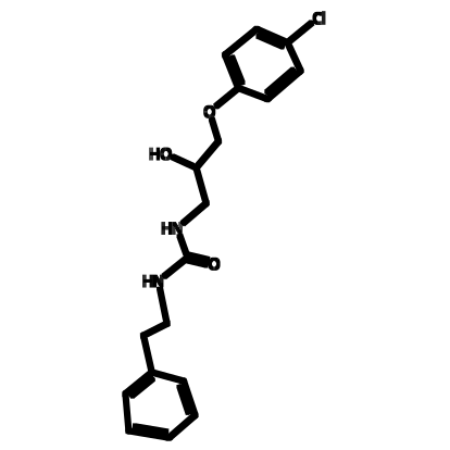 O=C(NCCc1ccccc1)NCC(O)COc1ccc(Cl)cc1